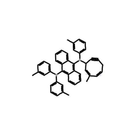 CC1=C/C(N(c2cccc(C)c2)c2c3ccccc3c(N(c3cccc(C)c3)c3cccc(C)c3)c3ccccc23)C#CC/C=C\1